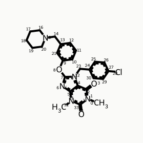 Cn1c(=O)c2c(nc(Oc3cccc(CN4CCCCC4)c3)n2Cc2ccc(Cl)cc2)n(C)c1=O